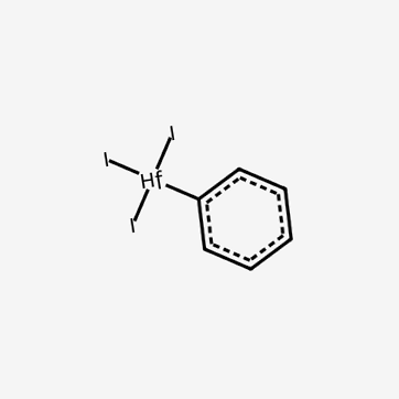 [I][Hf]([I])([I])[c]1ccccc1